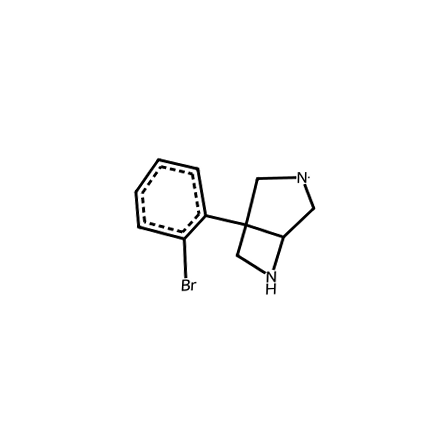 Brc1ccccc1C12C[N]CC1NC2